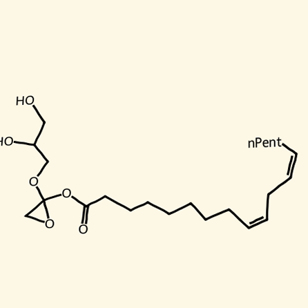 CCCCC/C=C\C/C=C\CCCCCCCC(=O)OC1(OCC(O)CO)CO1